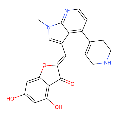 Cn1cc(C=C2Oc3cc(O)cc(O)c3C2=O)c2c(C3=CCNCC3)ccnc21